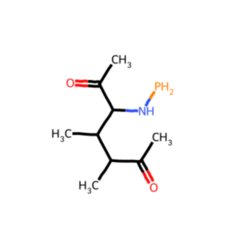 CC(=O)C(C)C(C)C(NP)C(C)=O